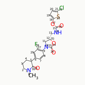 CN1CCCC(c2ccc(N3C[C@H](CNC(=O)Oc4ccc(Cl)s4)OC3=O)c(F)c2)C1=O